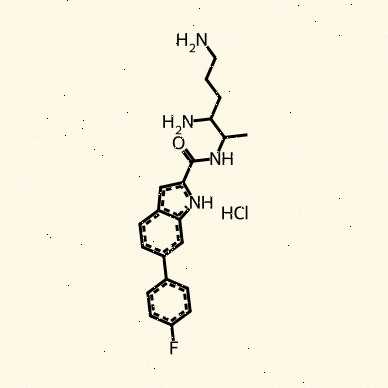 CC(NC(=O)c1cc2ccc(-c3ccc(F)cc3)cc2[nH]1)C(N)CCCN.Cl